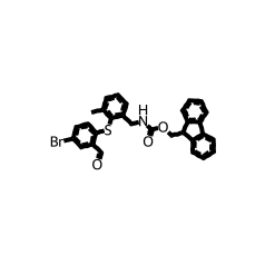 Cc1cccc(CNC(=O)OCC2c3ccccc3-c3ccccc32)c1Sc1ccc(Br)cc1C=O